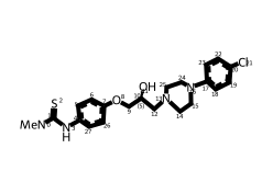 CNC(=S)Nc1ccc(OC[C@@H](O)CN2CCN(c3ccc(Cl)cc3)CC2)cc1